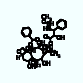 COBN[C@@H](c1ccccc1)[C@@H](O)C(=O)O[C@H]1C[C@@]2(O)[C@@H](OC(=O)c3ccccc3)[C@@H]3[C@]4(C)CO[C@@H]4C[C@H](O)[C@@]3(C)C(=O)[C@H](O)C(=C1C)C2(C)C